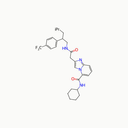 CC(C)CC(CNC(=O)Cc1cn2c(C(=O)NC3CCCCC3)cccc2n1)c1ccc(C(F)(F)F)cc1